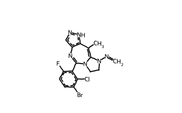 C=NN1CCN2C(c3c(F)ccc(Br)c3Cl)=Nc3cn[nH]c3C(C)=C12